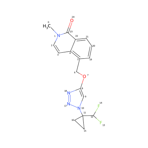 Cn1ccc2c(COc3cn(C4(C(F)F)CC4)nn3)cccc2c1=O